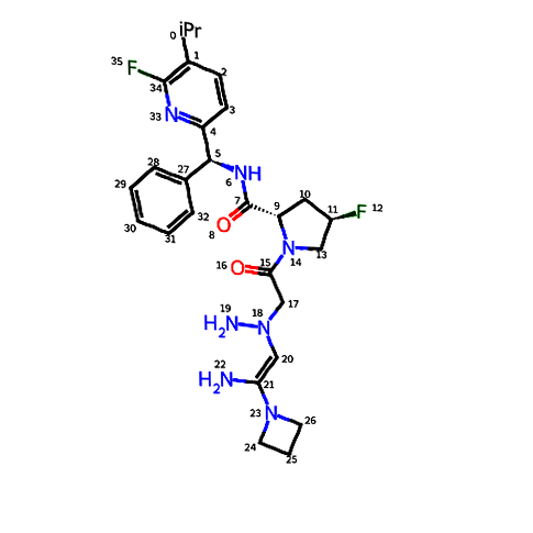 CC(C)c1ccc([C@@H](NC(=O)[C@@H]2C[C@@H](F)CN2C(=O)CN(N)/C=C(\N)N2CCC2)c2ccccc2)nc1F